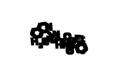 CCc1ccccc1S(=O)(=O)NC(=O)c1cn(C)c(-c2nccc3ccccc23)n1